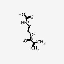 C=C(C)C(=O)OCCNC(=O)O